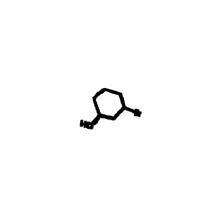 OC1CCC[C](Br)C1